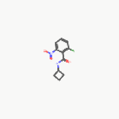 O=C(NC1CCC1)c1c(F)cccc1[N+](=O)[O-]